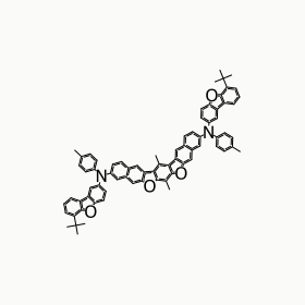 Cc1ccc(N(c2ccc3cc4c(cc3c2)oc2c(C)c3oc5cc6cc(N(c7ccc(C)cc7)c7ccc8oc9c(C(C)(C)C)cccc9c8c7)ccc6cc5c3c(C)c24)c2ccc3oc4c(C(C)(C)C)cccc4c3c2)cc1